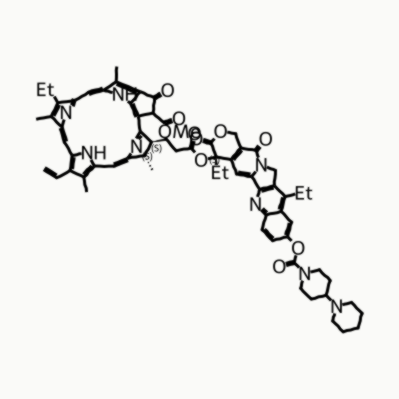 C=Cc1c(C)c2cc3nc(c4c5[nH]c(cc6nc(cc1[nH]2)C(C)=C6CC)c(C)c5C(=O)C4C(=O)OC)[C@@H](CCC(=O)O[C@]1(CC)C(=O)OCc2c1cc1n(c2=O)Cc2c-1nc1ccc(OC(=O)N4CCC(N5CCCCC5)CC4)cc1c2CC)[C@@H]3C